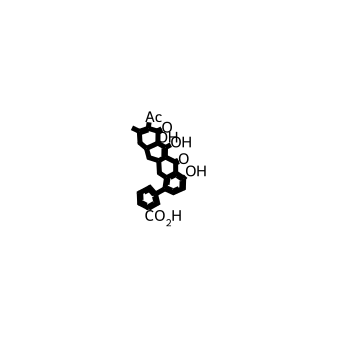 CC(=O)C1=C(C)CC2CC3Cc4c(-c5cccc(C(=O)O)c5)ccc(O)c4C(=O)C3=C(O)C2(O)C1=O